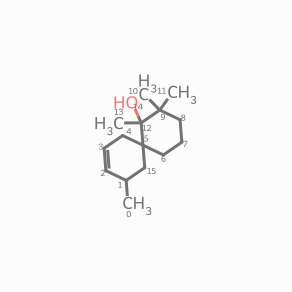 CC1C=CCC2(CCCC(C)(C)C2(C)O)C1